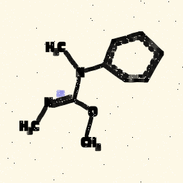 C/N=C(\OC)N(C)c1ccccc1